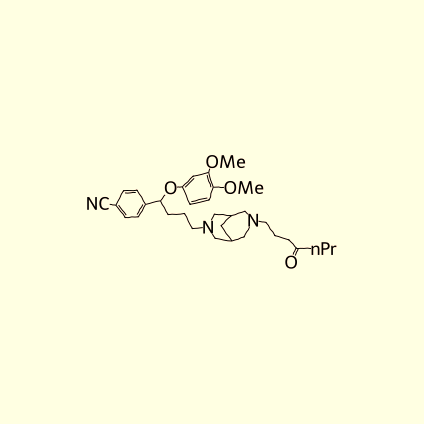 CCCC(=O)CCCN1CC2CC(C1)CN(CCCC(Oc1ccc(OC)c(OC)c1)c1ccc(C#N)cc1)C2